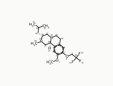 COc1cc2c(cc1OCC(F)(F)F)CCN1C[C@@H](CC(C)C)N(C)C[C@H]21